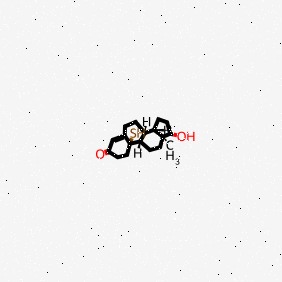 C[C@]12CC[C@H]3[C@@H](CCC4=CC(=O)CCC43S)[C@@H]1CCC2O